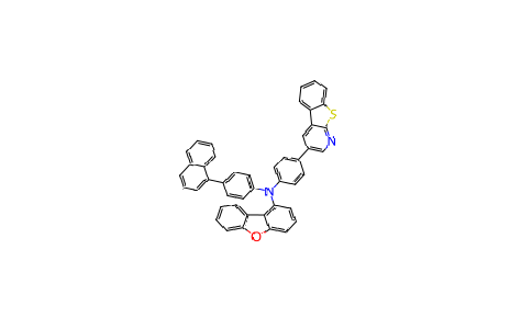 c1ccc2c(-c3ccc(N(c4ccc(-c5cnc6sc7ccccc7c6c5)cc4)c4cccc5oc6ccccc6c45)cc3)cccc2c1